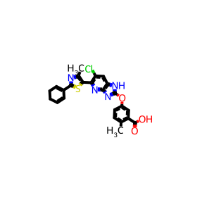 Cc1ccc(Oc2nc3nc(-c4sc(C5=CCCC=C5)nc4C)c(Cl)cc3[nH]2)cc1C(=O)O